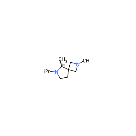 CC(C)N1CCC2(CN(C)C2)[C@@H]1C